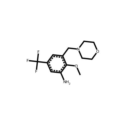 COc1c(N)cc(C(F)(F)F)cc1CN1CCOCC1